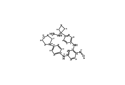 BNC1(c2ccc(Nc3nc(Nc4ccc(N5CCOCC5)cc4)ccc3N=O)cc2)CCC1